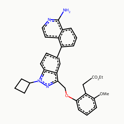 CCOC(=O)Cc1c(OC)cccc1OCc1nn(C2CCC2)c2ccc(-c3cccc4c(N)nccc34)cc12